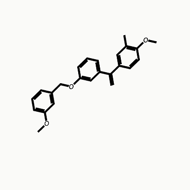 C=C(c1cccc(OCc2cccc(OC)c2)c1)c1ccc(OC)c(C)c1